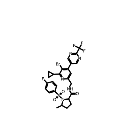 CC1CCC(C(=O)NCc2cc(-c3cnc(C(F)(F)F)nc3)c(Br)c(C3CC3)n2)N1S(=O)(=O)c1ccc(F)cc1